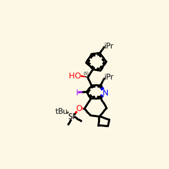 CC(C)c1ccc([C@H](O)c2c(C(C)C)nc3c(c2I)C(O[Si](C)(C)C(C)(C)C)CC2(CCC2)C3)cc1